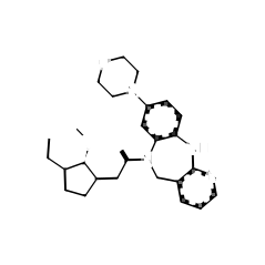 CCC1CCC(CC(=O)N2Cc3cccnc3Nc3ccc(N4CCOCC4)cc32)[C@@H]1OC